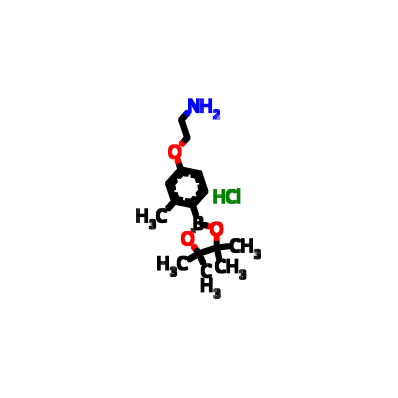 Cc1cc(OCCN)ccc1B1OC(C)(C)C(C)(C)O1.Cl